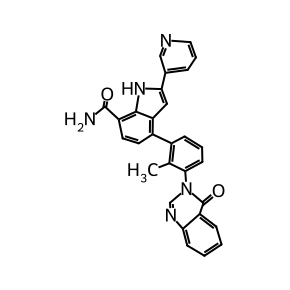 Cc1c(-c2ccc(C(N)=O)c3[nH]c(-c4cccnc4)cc23)cccc1-n1cnc2ccccc2c1=O